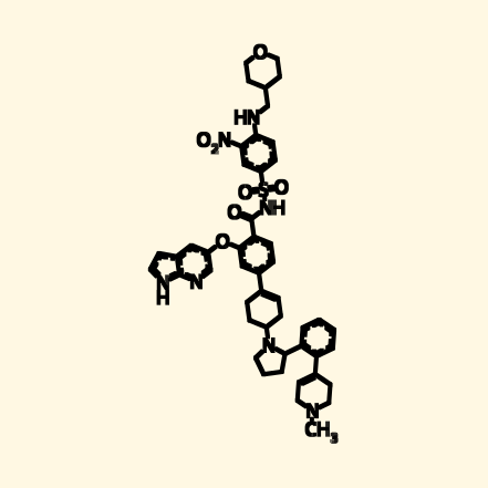 CN1CC=C(c2ccccc2C2CCCN2C2CC=C(c3ccc(C(=O)NS(=O)(=O)c4ccc(NCC5CCOCC5)c([N+](=O)[O-])c4)c(Oc4cnc5[nH]ccc5c4)c3)CC2)CC1